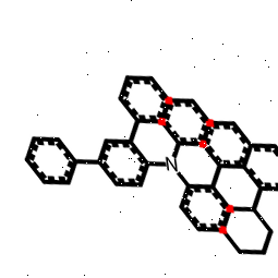 c1ccc(-c2ccc(N(c3ccccc3)c3ccccc3-c3cccc4cccc(C5CCCCC5)c34)c(-c3ccccc3)c2)cc1